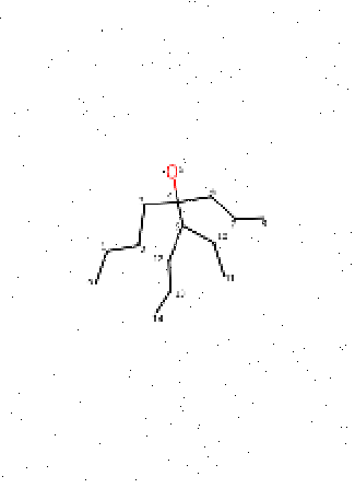 CCCCC([O])(CCC)C(CC)CCC